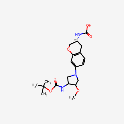 COC1CN(c2ccc3c(c2)OC[C@H](NC(=O)O)C3)CC1NC(=O)OC(C)(C)C